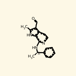 Cc1[nH]c2c(N[C@H](C)c3ccccc3)nccc2c1C=O